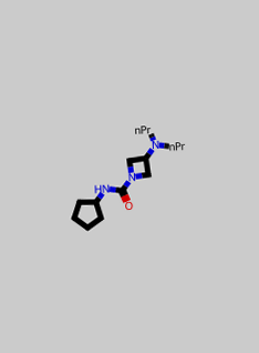 CCCN(CCC)C1CN(C(=O)NC2CCCC2)C1